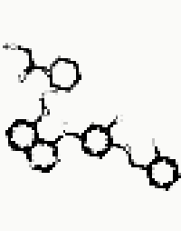 O=C(CO)N1CCCC[C@@H]1COc1cccc2ncnc(Nc3ccc(OCc4ccccc4F)c(Cl)c3)c12